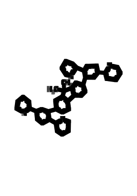 CC1(C)c2cc(-c3cc(-c4ccccn4)ccc3-c3ccccn3)ccc2-c2ccc(-c3cc(-c4ccccn4)ccc3-c3ccccn3)cc21